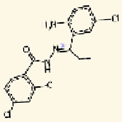 CC/C(=N\NC(=O)c1ccc(Cl)cc1Cl)c1cc(Cl)ccc1N